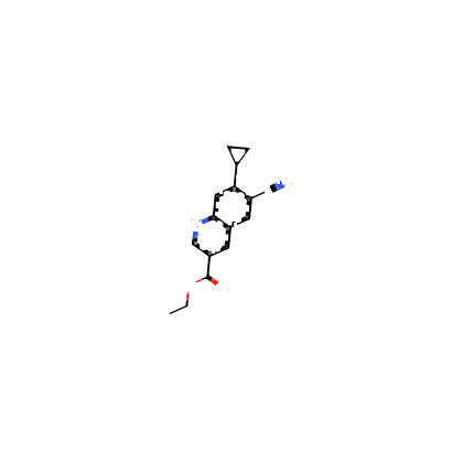 CCOC(=O)c1cnc2cc(C3CC3)c(C#N)cc2c1